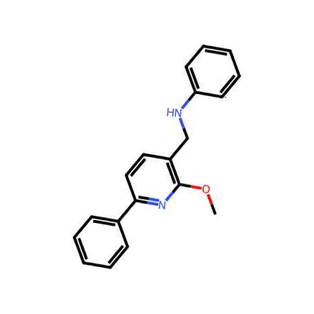 COc1nc(-c2ccccc2)ccc1CNc1[c]cccc1